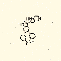 C=C(Nc1cncc(-c2cc3c(-c4cc5cnccc5[nH]4)n[nH]c3cn2)c1)C1CCCCC1